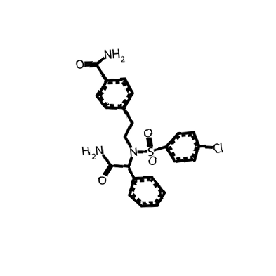 NC(=O)c1ccc(CCN(C(C(N)=O)c2ccccc2)S(=O)(=O)c2ccc(Cl)cc2)cc1